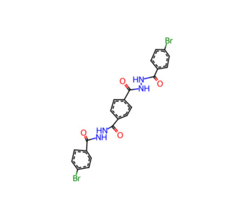 O=C(NNC(=O)c1ccc(C(=O)NNC(=O)c2ccc(Br)cc2)cc1)c1ccc(Br)cc1